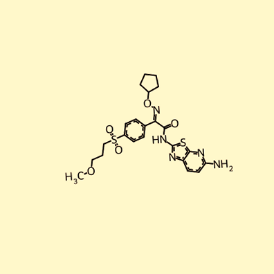 COCCCS(=O)(=O)c1ccc(/C(=N\OC2CCCC2)C(=O)Nc2nc3ccc(N)nc3s2)cc1